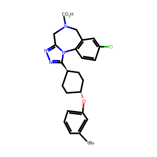 CC(C)(C)c1cccc(O[C@H]2CC[C@H](c3nnc4n3-c3ccc(Cl)cc3CN(C(=O)O)C4)CC2)c1